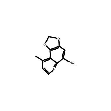 Cc1ccnc2c([N+](=O)[O-])cc3c(c12)OCO3